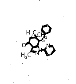 Cc1nn(-c2ccccn2)c2c1C(=O)CC(C)(C)C2Sc1ccccc1